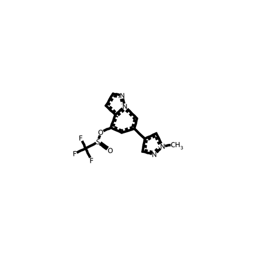 Cn1cc(-c2cc(OS(=O)C(F)(F)F)c3ccnn3c2)cn1